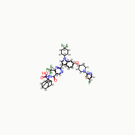 O=C(NC1(C(=O)O)C2CC3CC(C2)CC1C3)c1cnc(-c2cn(C3CCC(F)(F)CC3)c3cc(OC4CCN(c5ncc(F)s5)CC4)ccc23)nc1C(F)(F)F